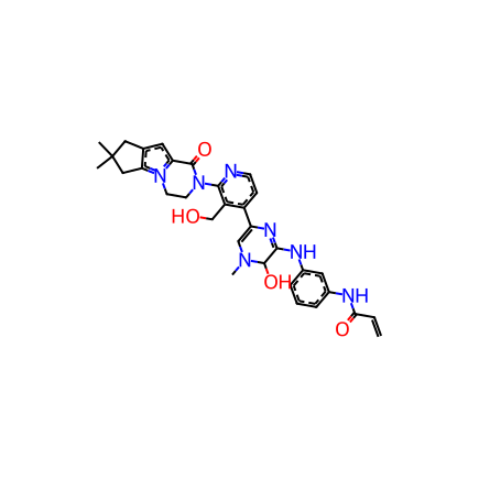 C=CC(=O)Nc1cccc(NC2=NC(c3ccnc(N4CCn5c(cc6c5CC(C)(C)C6)C4=O)c3CO)=CN(C)C2O)c1